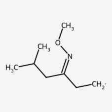 [CH2]CC(CC(C)C)=NOC